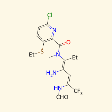 CCSc1ccc(Cl)nc1C(=O)N(C)/C(CC)=C(N)/C=C(\NC=O)C(F)(F)F